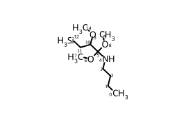 CCCCNC(OC)(OC)C(C[SiH3])OC